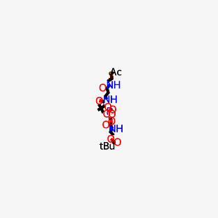 CC(=O)SCCNC(=O)CCNC(=O)[C@@H]1OP(=O)(OCOC(=O)NCCOC(=O)C(C)(C)C)OCC1(C)C